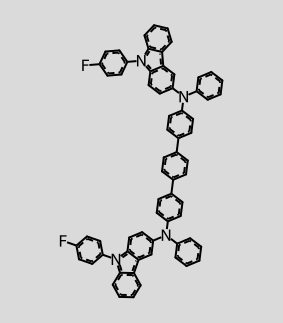 Fc1ccc(-n2c3ccccc3c3cc(N(c4ccccc4)c4ccc(-c5ccc(-c6ccc(N(c7ccccc7)c7ccc8c(c7)c7ccccc7n8-c7ccc(F)cc7)cc6)cc5)cc4)ccc32)cc1